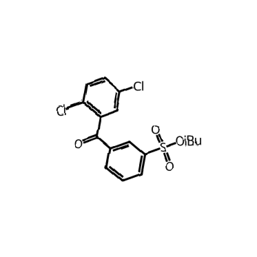 CC(C)COS(=O)(=O)c1cccc(C(=O)c2cc(Cl)ccc2Cl)c1